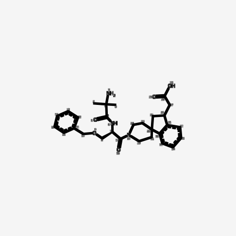 CC(C)(N)C(=O)N[C@H](COCc1ccccc1)C(=O)N1CCC2(CC1)CC(CC(=O)O)c1ccccc12